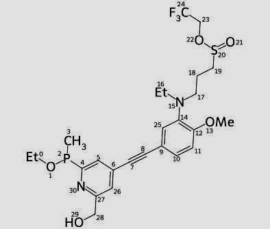 CCOP(C)c1cc(C#Cc2ccc(OC)c(N(CC)CCCS(=O)OCC(F)(F)F)c2)cc(CO)n1